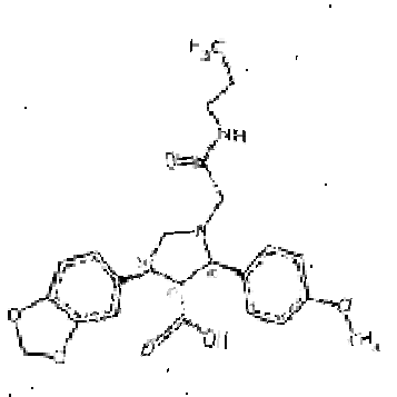 CCCNC(=O)CN1C[C@H](c2ccc3c(c2)OCO3)[C@@H](C(=O)O)[C@@H]1c1ccc(OC)cc1